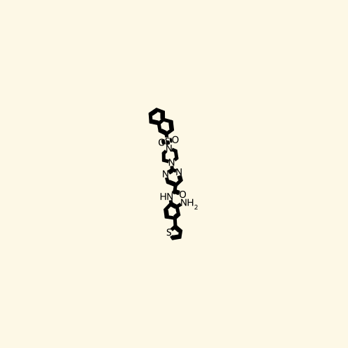 Nc1cc(-c2cccs2)ccc1NC(=O)c1cnc(N2CCN(S(=O)(=O)c3ccc4ccccc4c3)CC2)nc1